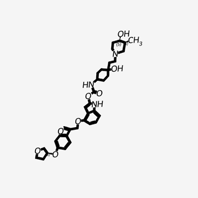 C[C@H]1CN(CCC2(O)CCC(NC(=O)Oc3cc4c(OCc5coc6cc(O[C@H]7CCOC7)ccc56)cccc4[nH]3)CC2)CC[C@@H]1O